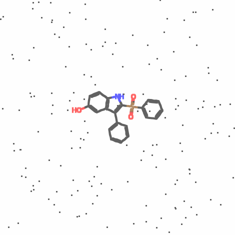 O=S(=O)(c1ccccc1)c1[nH]c2ccc(O)cc2c1-c1ccccc1